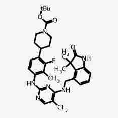 Cc1c(Nc2ncc(C(F)(F)F)c(NCc3cccc4c3C(C)(C)C(=O)N4)n2)ccc(C2CCN(C(=O)OC(C)(C)C)CC2)c1F